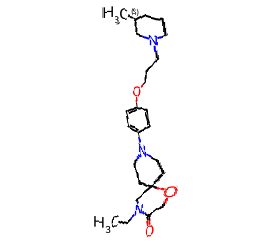 CCN1CC2(CCN(c3ccc(OCCCN4CCC[C@H](C)C4)cc3)CC2)OCC1=O